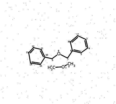 COC.c1ccc(COCc2ccccc2)cc1